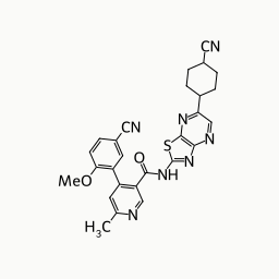 COc1ccc(C#N)cc1-c1cc(C)ncc1C(=O)Nc1nc2ncc(C3CCC(C#N)CC3)nc2s1